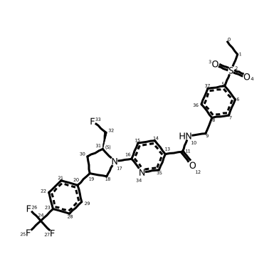 CCS(=O)(=O)c1ccc(CNC(=O)c2ccc(N3CC(c4ccc(C(F)(F)F)cc4)C[C@H]3CF)nc2)cc1